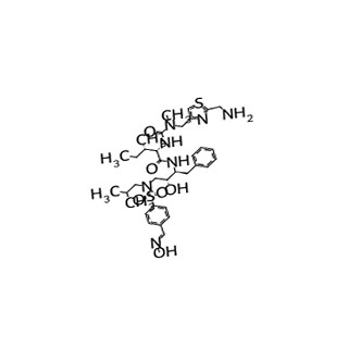 CC[C@H](C)[C@H](NC(=O)N(C)Cc1csc(CN)n1)C(=O)N[C@@H](Cc1ccccc1)[C@H](O)CN(CC(C)C)S(=O)(=O)c1ccc(/C=N/O)cc1